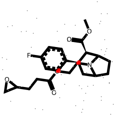 COC(=O)[C@H]1C2CCC(C[C@H]1c1ccc(F)cc1)N2CCOC(=O)CCC1CO1